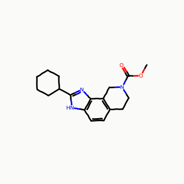 COC(=O)N1CCc2ccc3[nH]c(C4CCCCC4)nc3c2C1